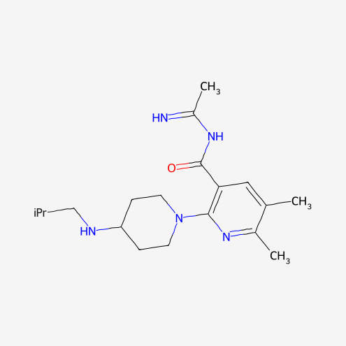 CC(=N)NC(=O)c1cc(C)c(C)nc1N1CCC(NCC(C)C)CC1